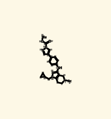 CC(=O)N1CCc2c(c(Nc3ccc(-c4cnn(C(=O)OC(C)(C)C)c4)cc3)nn2CC2CC2)C1